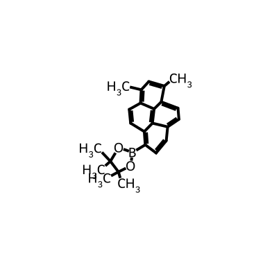 Cc1cc(C)c2ccc3c(B4OC(C)(C)C(C)(C)O4)ccc4ccc1c2c43